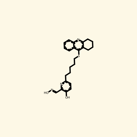 ON=Cc1nc(CCCCCSc2c3c(nc4ccccc24)CCCC3)ccc1O